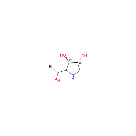 CCC(O)C1NC[C@@H](O)[C@@H]1O